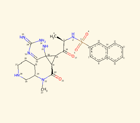 C[C@@H](NS(=O)(=O)c1ccc2ccccc2c1)C(=O)C1[C@@H](C(=O)N(C)C2CCCNC2)C1([NH])C=NC(=N)N